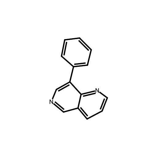 c1ccc(-c2cncc3cccnc23)cc1